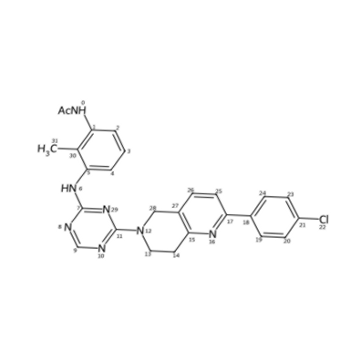 CC(=O)Nc1cccc(Nc2ncnc(N3CCc4nc(-c5ccc(Cl)cc5)ccc4C3)n2)c1C